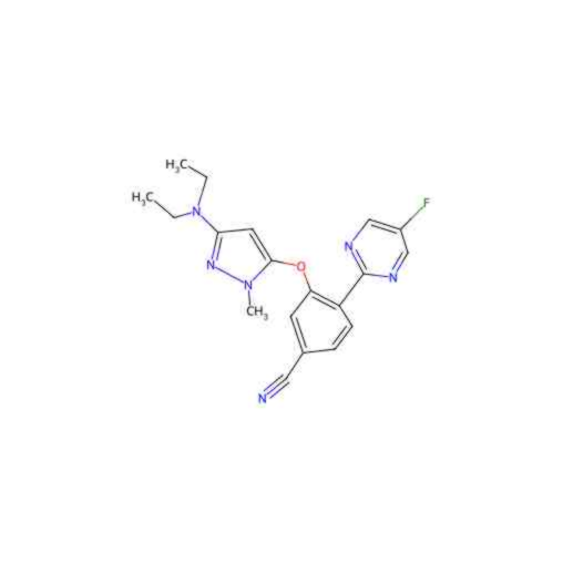 CCN(CC)c1cc(Oc2cc(C#N)ccc2-c2ncc(F)cn2)n(C)n1